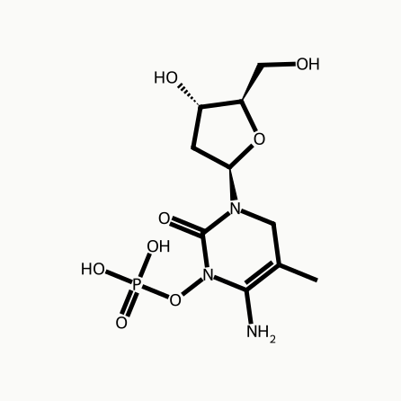 CC1=C(N)N(OP(=O)(O)O)C(=O)N([C@H]2C[C@H](O)[C@@H](CO)O2)C1